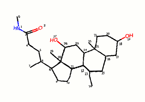 CNC(=O)CCC(C)C1CCC2C3C(C)CC4CC(O)CCC4(C)C3CC(O)C12C